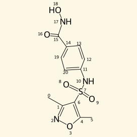 Cc1noc(C)c1S(=O)(=O)Nc1ccc(C(=O)NO)cc1